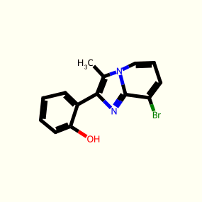 Cc1c(-c2ccccc2O)nc2c(Br)cccn12